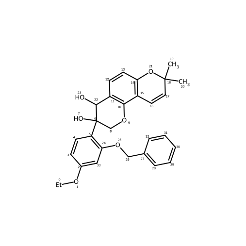 CCOc1ccc(C2(O)COc3c(ccc4c3C=CC(C)(C)O4)C2O)c(OCc2ccccc2)c1